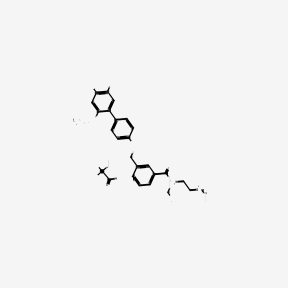 CCNCCN(CC(=O)O)C(=O)c1cccc(COc2ccc(-c3cc(F)c(F)cc3SC)cc2)c1.O=C(O)C(F)(F)F